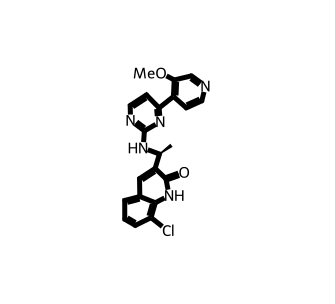 COc1cnccc1-c1ccnc(N[C@@H](C)c2cc3cccc(Cl)c3[nH]c2=O)n1